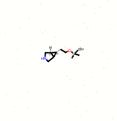 CC(C)(C)[Si](C)(C)OCC[C@@H]1C2CNC[C@H]21